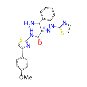 COc1ccc(-c2csc(NC(=O)/C(=N/Nc3nccs3)C(N)c3ccccc3)n2)cc1